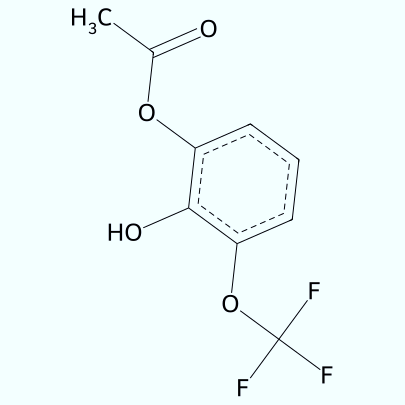 CC(=O)Oc1cccc(OC(F)(F)F)c1O